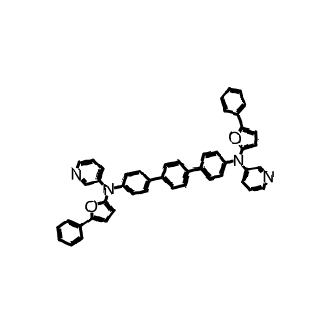 c1ccc(-c2ccc(N(c3ccc(-c4ccc(-c5ccc(N(c6cccnc6)c6ccc(-c7ccccc7)o6)cc5)cc4)cc3)c3cccnc3)o2)cc1